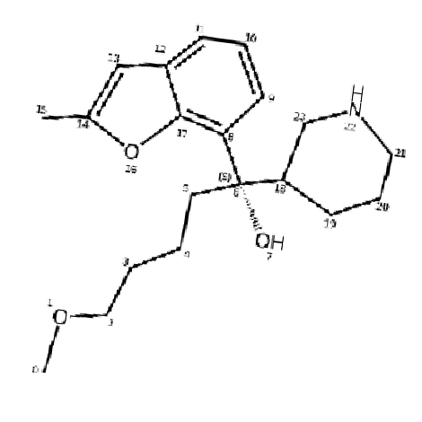 COCCCC[C@@](O)(c1cccc2cc(C)oc12)C1CCCNC1